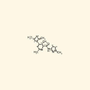 Cc1cc(-c2cc(C)nn2C)c(C)c(C(=O)Nc2ccn(C)n2)n1